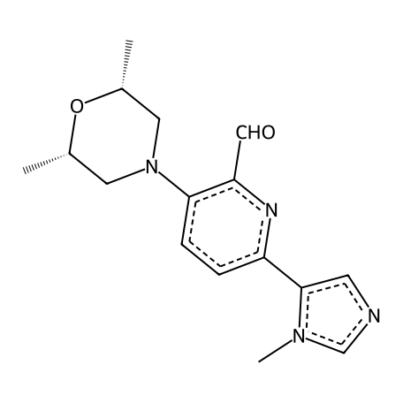 C[C@@H]1CN(c2ccc(-c3cncn3C)nc2C=O)C[C@H](C)O1